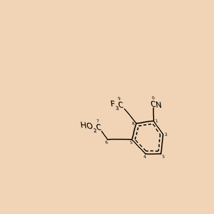 N#Cc1cccc(CC(=O)O)c1C(F)(F)F